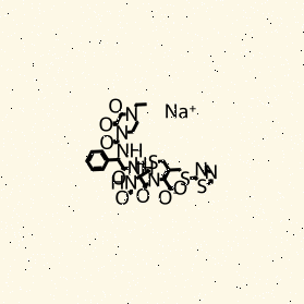 CCN1CCN(C(=O)NC(C(=O)N[C@]2(NC=O)C(=O)N3C(C(=O)[O-])=C(CSc4nncs4)CS[C@H]32)c2ccccc2)C(=O)C1=O.[Na+]